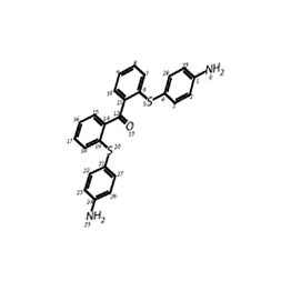 Nc1ccc(Sc2ccccc2C(=O)c2ccccc2Sc2ccc(N)cc2)cc1